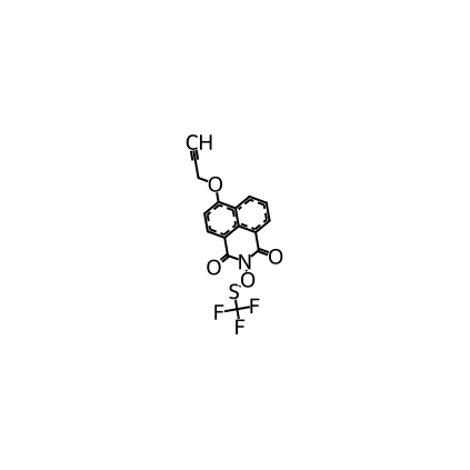 C#CCOc1ccc2c3c(cccc13)C(=O)N(OSC(F)(F)F)C2=O